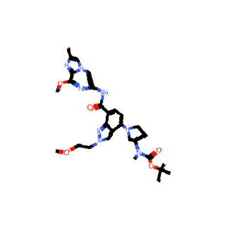 COCCn1cc2c(N3CCC(N(C)C(=O)OC(C)(C)C)C3)ccc(C(=O)Nc3cn4cc(C)nc4c(OC)n3)c2n1